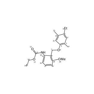 CCc1cc(C)c(OCc2c(NC(=O)OCF)cccc2OC)cc1C